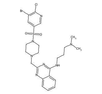 CN(C)CCCNc1nc(CN2CCN(S(=O)(=O)c3cnc(Cl)c(Br)c3)CC2)nc2ccccc12